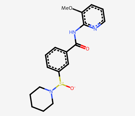 COc1cccnc1NC(=O)c1cccc([S+]([O-])N2CCCCC2)c1